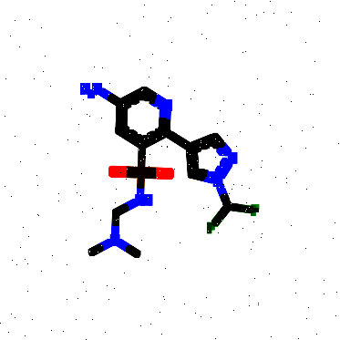 CN(C)CNS(=O)(=O)c1cc(N)cnc1-c1cnn(C(F)F)c1